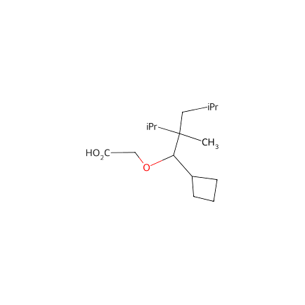 CC(C)CC(C)(C(C)C)C(OCC(=O)O)C1CCC1